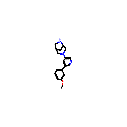 CCOc1cccc(-c2cncc(N3CC4CNC(C4)C3)c2)c1